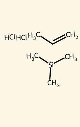 C=CC.C[Si](C)C.Cl.Cl